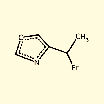 CCC(C)c1cocn1